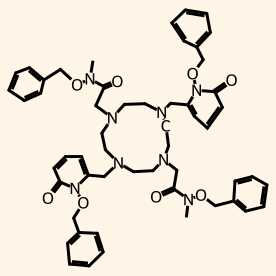 CN(OCc1ccccc1)C(=O)CN1CCN(Cc2cccc(=O)n2OCc2ccccc2)CCN(CC(=O)N(C)OCc2ccccc2)CCN(Cc2cccc(=O)n2OCc2ccccc2)CC1